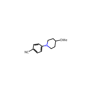 COC1CCN(c2ccc(C#N)cc2)CC1